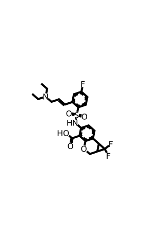 CCN(CC)CC=Cc1cc(F)ccc1S(=O)(=O)Nc1ccc2c(c1C(=O)O)OCC1C2C1(F)F